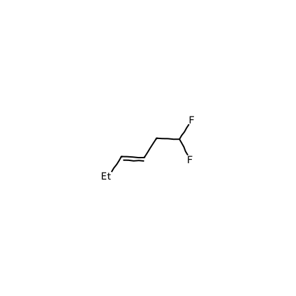 [CH2]C/C=C/CC(F)F